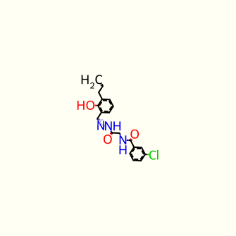 C=CCc1cccc(/C=N\NC(=O)CNC(=O)c2cccc(Cl)c2)c1O